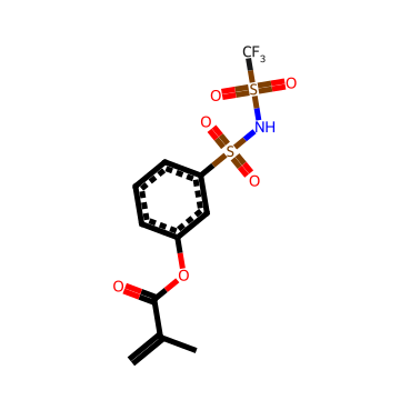 C=C(C)C(=O)Oc1cccc(S(=O)(=O)NS(=O)(=O)C(F)(F)F)c1